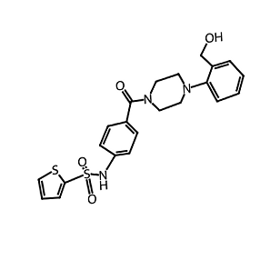 O=C(c1ccc(NS(=O)(=O)c2cccs2)cc1)N1CCN(c2ccccc2CO)CC1